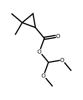 COC(OC)OC(=O)C1CC1(C)C